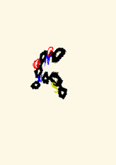 c1ccc(-c2nc3c(ccc4oc5ccc(N(c6ccccc6)c6ccc(-c7cccc8c7sc7ccccc78)cc6)cc5c43)o2)cc1